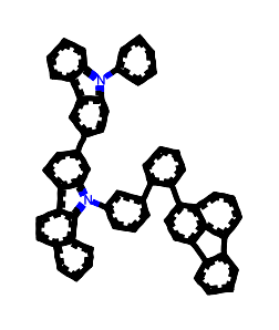 c1ccc(-n2c3ccccc3c3cc(-c4ccc5c6ccc7ccccc7c6n(-c6cccc(-c7ccccc7-c7ccc8c9c(cccc79)-c7ccccc7-8)c6)c5c4)ccc32)cc1